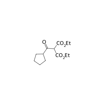 CCOC(=O)C(C(=O)OCC)C(=O)C1CCCC1